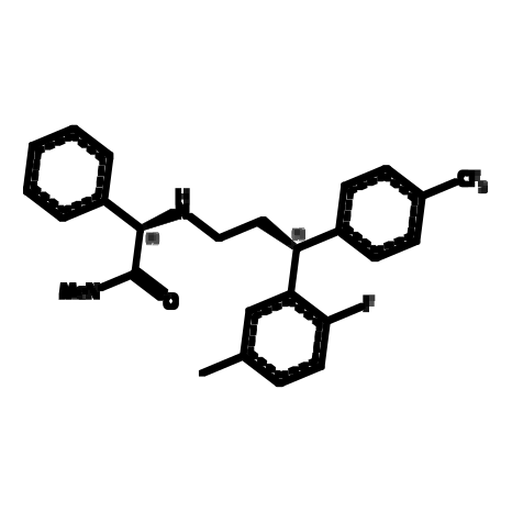 CNC(=O)[C@H](NCC[C@@H](c1ccc(C(F)(F)F)cc1)c1cc(C)ccc1F)c1ccccc1